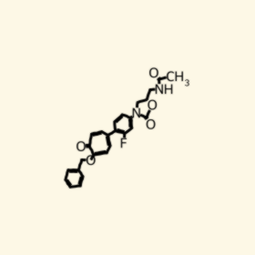 CC(=O)NCC1CN(c2ccc(-c3ccc(OCc4ccccc4)c(=O)cc3)c(F)c2)C(=O)O1